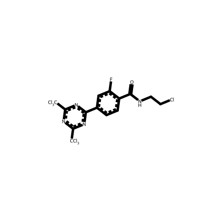 O=C(NCCCl)c1ccc(-c2nc(C(Cl)(Cl)Cl)nc(C(Cl)(Cl)Cl)n2)cc1F